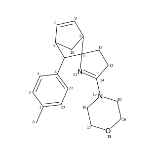 Cc1ccc(C2C3C=CC(C3)C23CCC(N2CCOCC2)=N3)cc1